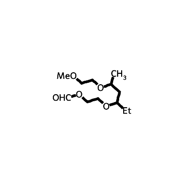 CCC(CC(C)OCCOC)OCCOC=O